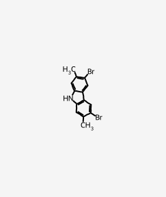 Cc1cc2[nH]c3cc(C)c(Br)cc3c2cc1Br